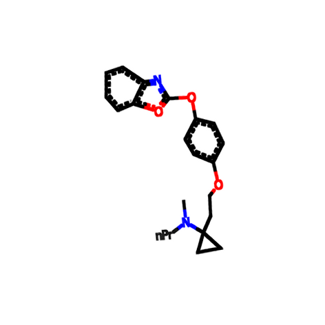 CCCN(C)C1(CCOc2ccc(Oc3nc4ccccc4o3)cc2)CC1